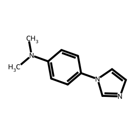 CN(C)c1ccc(-n2ccnc2)cc1